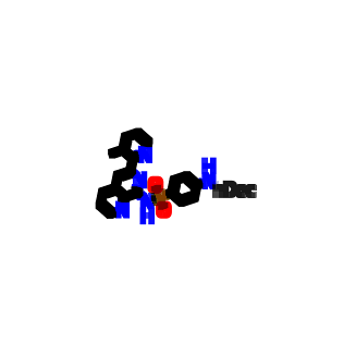 CCCCCCCCCCNc1ccc(S(=O)(=O)Nc2nc(-c3ncccc3C)cc3cccnc23)cc1